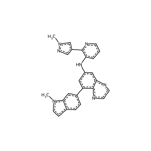 Cn1cc(-c2ncccc2Nc2cc(-c3ccc4ccn(C)c4c3)c3nccnc3c2)cn1